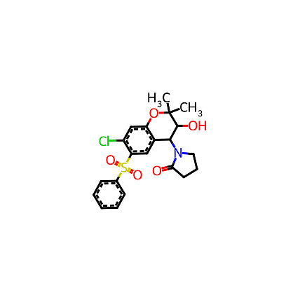 CC1(C)Oc2cc(Cl)c(S(=O)(=O)c3ccccc3)cc2C(N2CCCC2=O)C1O